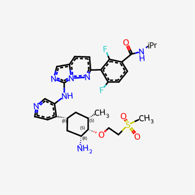 CC(C)NC(=O)c1ccc(F)c(-c2ccc3cnc(Nc4cnccc4[C@H]4C[C@@H](N)[C@@H](OCCS(C)(=O)=O)[C@@H](C)C4)n3n2)c1F